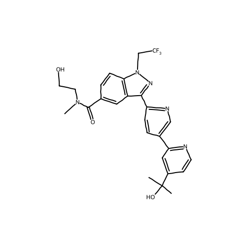 CN(CCO)C(=O)c1ccc2c(c1)c(-c1ccc(-c3cc(C(C)(C)O)ccn3)cn1)nn2CC(F)(F)F